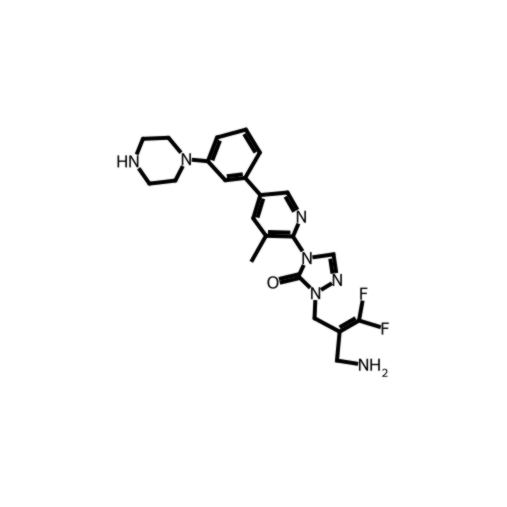 Cc1cc(-c2cccc(N3CCNCC3)c2)cnc1-n1cnn(CC(CN)=C(F)F)c1=O